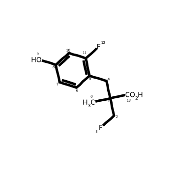 CC(CF)(Cc1ccc(O)cc1F)C(=O)O